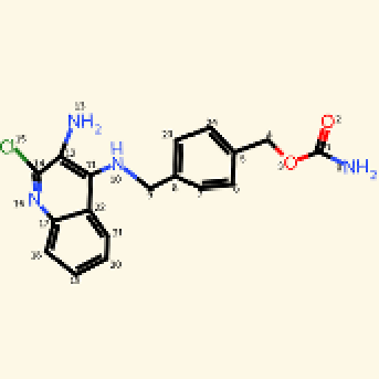 NC(=O)OCc1ccc(CNc2c(N)c(Cl)nc3ccccc23)cc1